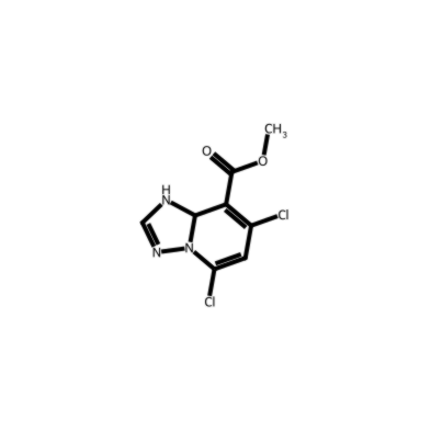 COC(=O)C1=C(Cl)C=C(Cl)N2N=CNC12